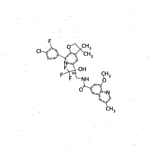 COc1cc(C(=O)NC[C@](O)(c2cc3c(c(-c4ccc(Cl)c(F)c4)n2)OCC3(C)C)C(F)(F)F)cc2cc(C)cnc12